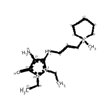 CCn1c(NCCC[N+]2(C)CCCCC2)c(N)c(=O)n1CC